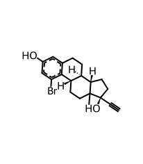 C#C[C@@]1(O)CC[C@H]2[C@@H]3CCc4cc(O)cc(Br)c4[C@H]3CCC21C